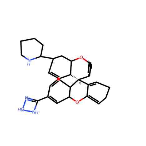 C1=CC2C(C=C1c1n[nH][nH]1)OC1=CCCC=C1[C@]21c2ccccc2OC2CC(C3CCCCN3)C=CC21